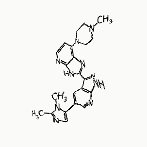 Cc1ncc(-c2cnc3[nH]nc(-c4nc5c(N6CCN(C)CC6)ccnc5[nH]4)c3c2)n1C